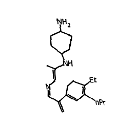 C=C(/C=N\C=C(/C)NC1CCC(N)CC1)C1=CC(CCC)=C(CC)CC1